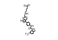 CCN(CC)CCCCNCc1ncc2c(-c3ccc(NC(=O)Nc4cc(C(F)(F)F)ccc4F)cc3)n[nH]c2n1